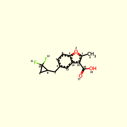 Cc1oc2ccc(CC3CC3(F)F)cc2c1C(=O)O